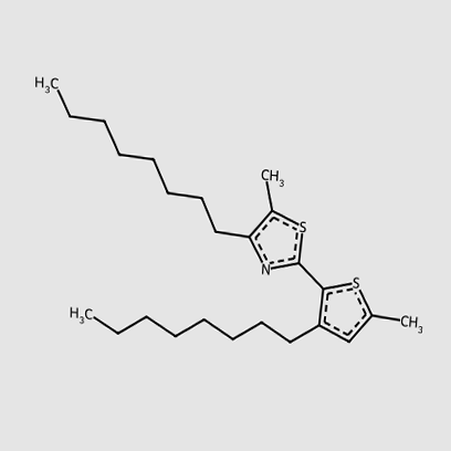 CCCCCCCCc1cc(C)sc1-c1nc(CCCCCCCC)c(C)s1